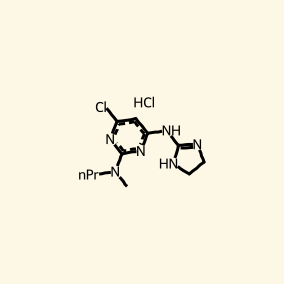 CCCN(C)c1nc(Cl)cc(NC2=NCCN2)n1.Cl